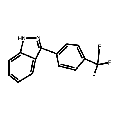 FC(F)(F)c1ccc(-c2n[nH]c3cc[c]cc23)cc1